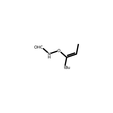 C/C=C(\ONC=O)C(C)(C)C